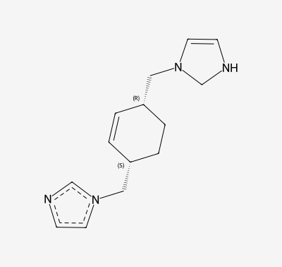 C1=CN(C[C@H]2C=C[C@@H](Cn3ccnc3)CC2)CN1